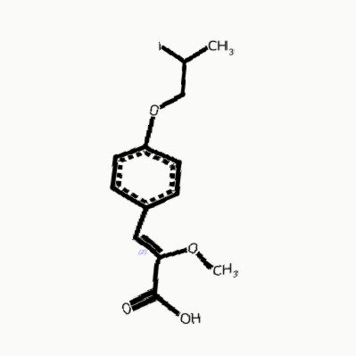 CO/C(=C\c1ccc(OCC(C)I)cc1)C(=O)O